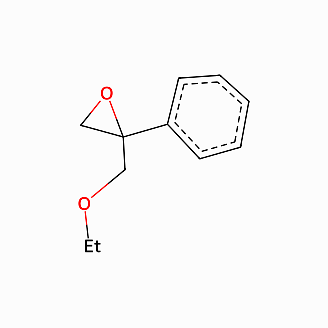 CCOCC1(c2ccccc2)CO1